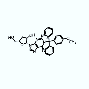 COc1ccc(C(c2ccccc2)(c2ccccc2)n2c(N)nc3c(ncn3[C@@H]3O[C@H](CO)C[C@H]3O)c2=O)cc1